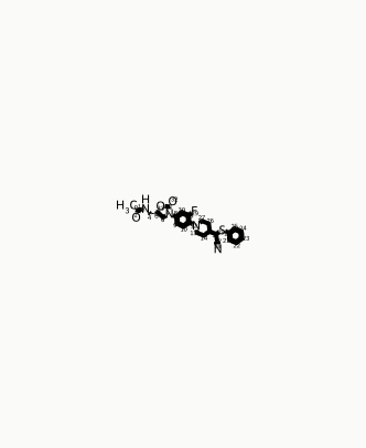 CC(=O)NC[C@H]1CN(c2ccc(N3CCC(C(C#N)Sc4ccccc4)CC3)c(F)c2)C(=O)O1